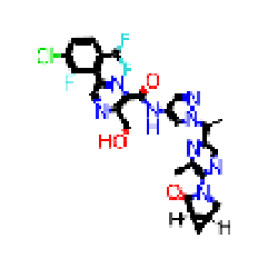 Cc1nc([C@H](C)n2cc(NC(=O)c3nc(-c4c(C(F)F)ccc(Cl)c4F)cnc3CO)cn2)cnc1N1C[C@H]2C[C@H]2C1=O